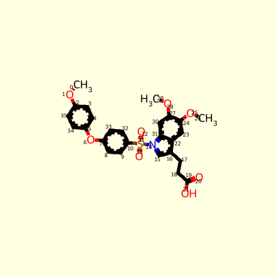 COc1ccc(Oc2ccc(S(=O)(=O)n3cc(CCC(=O)O)c4cc(OC)c(OC)cc43)cc2)cc1